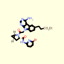 CCOC(=O)CCc1ccc2c(c1)c1c(N)ncnc1n2CC(=O)N1[C@@H]2C[C@@H]2C[C@H]1C(=O)Nc1cccc(Br)n1